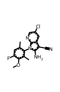 COc1c(F)cc(C)c(-n2c(N)c(C#N)c3cc(Cl)cnc32)c1C